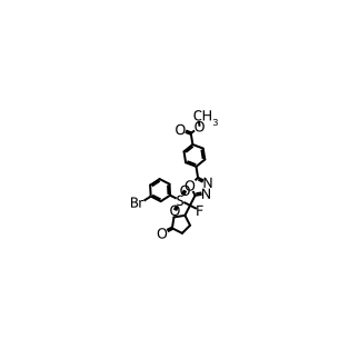 COC(=O)c1ccc(-c2nnc(C(F)(C3CCC(=O)C3)S(=O)(=O)c3cccc(Br)c3)o2)cc1